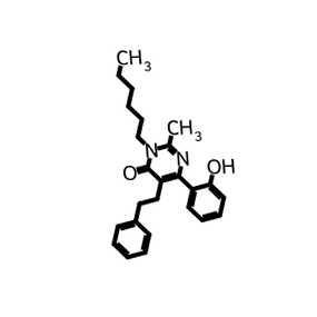 CCCCCCn1c(C)nc(-c2ccccc2O)c(CCc2ccccc2)c1=O